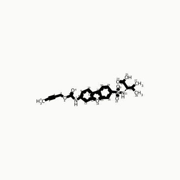 CC#CCOC(=O)Nc1ccc2c(c1)oc1cc(S(=O)(=O)N[C@H](C(=O)O)C(C)C)ccc12